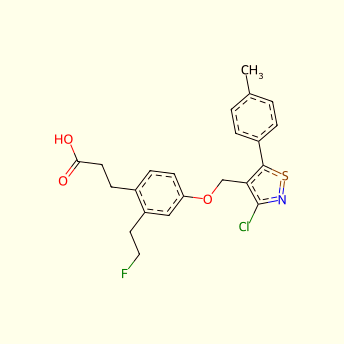 Cc1ccc(-c2snc(Cl)c2COc2ccc(CCC(=O)O)c(CCF)c2)cc1